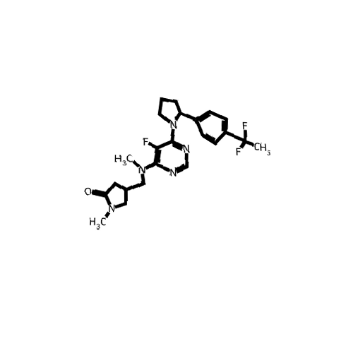 CN1CC(CN(C)c2ncnc(N3CCCC3c3ccc(C(C)(F)F)cc3)c2F)CC1=O